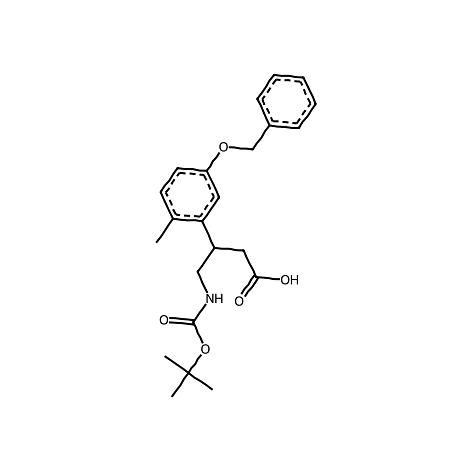 Cc1ccc(OCc2ccccc2)cc1C(CNC(=O)OC(C)(C)C)CC(=O)O